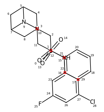 O=C(CN1CC2CC(C1)N2CCS(=O)(=O)c1ccccc1)Nc1cc(F)cc(Cl)c1